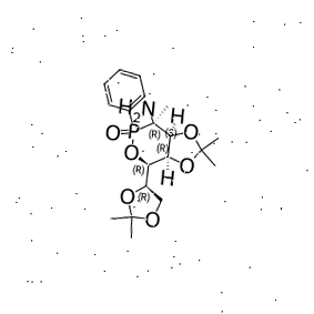 CC1(C)OC[C@H]([C@H]2OP(=O)(c3ccccc3)[C@@](C)(N)[C@H]3OC(C)(C)O[C@@H]23)O1